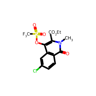 CCOC(=O)c1c(OS(=O)(=O)C(F)(F)F)c2cc(Cl)ccc2c(=O)n1C